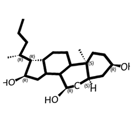 CCC[C@@H](C)[C@@H]1C2CCC3C(C2C[C@H]1O)[C@H](O)C[C@@H]1C[C@H](O)CC[C@]31C